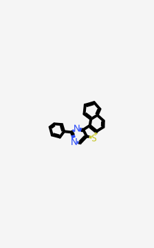 c1ccc(-c2ncc3sc4ccc5ccccc5c4c3n2)cc1